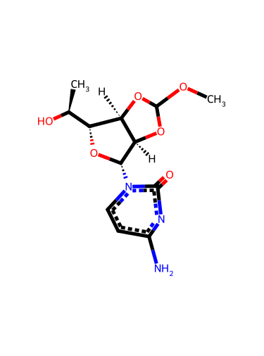 COC1O[C@H]2[C@@H](O1)[C@H](n1ccc(N)nc1=O)O[C@@H]2[C@H](C)O